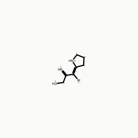 N=C(CO)/C(Br)=C1/CCCN1